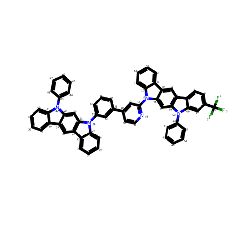 FC(F)(F)c1ccc2c3cc4c5ccccc5n(-c5cc(-c6cccc(-n7c8ccccc8c8cc9c%10ccccc%10n(-c%10ccccc%10)c9cc87)c6)ccn5)c4cc3n(-c3ccccc3)c2c1